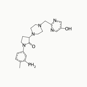 Cc1ccc(N2CCC(N3CCN(Cc4ncc(O)cn4)CC3)C2=O)cc1P